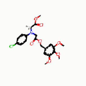 COC(=O)[C@@H](C)N(CC(=O)OCc1cc(OC)c(OC)c(OC)c1)c1ccc(Cl)cc1